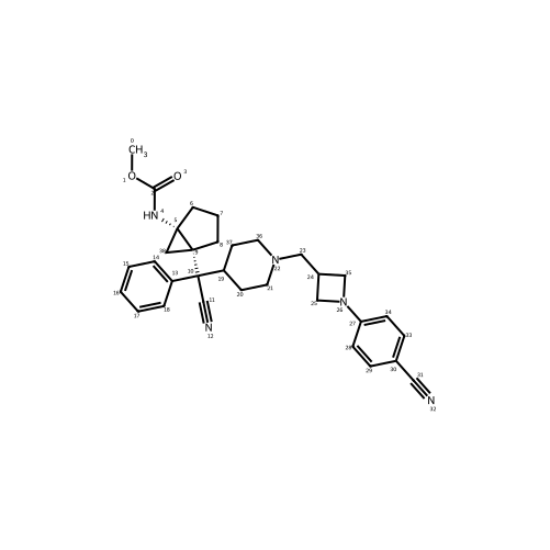 COC(=O)N[C@]12CCC[C@@]1(C(C#N)(c1ccccc1)C1CCN(CC3CN(c4ccc(C#N)cc4)C3)CC1)C2